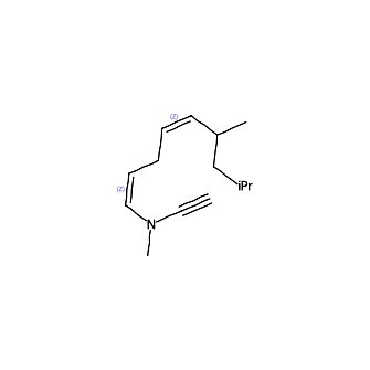 C#CN(C)/C=C\C/C=C\C(C)CC(C)C